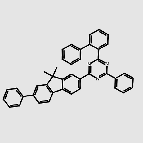 CC1(C)c2cc(-c3ccccc3)ccc2-c2ccc(-c3nc(-c4ccccc4)nc(-c4ccccc4-c4ccccc4)n3)cc21